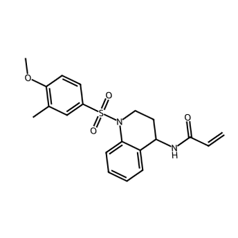 C=CC(=O)NC1CCN(S(=O)(=O)c2ccc(OC)c(C)c2)c2ccccc21